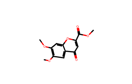 COC(=O)c1cc(=O)c2cc(OC)c(OC)cc2o1